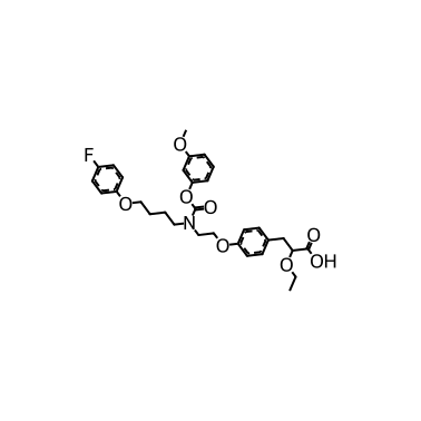 CCOC(Cc1ccc(OCCN(CCCCOc2ccc(F)cc2)C(=O)Oc2cccc(OC)c2)cc1)C(=O)O